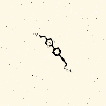 CCCC12COC(c3ccc(C#CCOC)cc3)(OC1)SC2